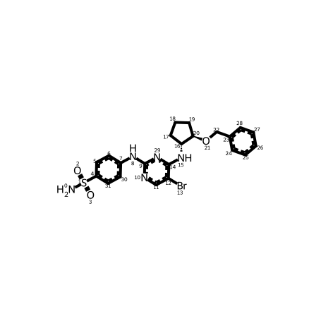 NS(=O)(=O)c1ccc(Nc2ncc(Br)c(N[C@@H]3CCC[C@H]3OCc3ccccc3)n2)cc1